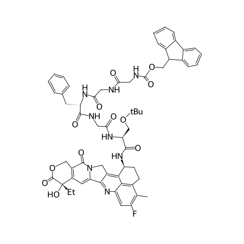 CC[C@@]1(O)C(=O)OCc2c1cc1n(c2=O)Cc2c-1nc1cc(F)c(C)c3c1c2[C@@H](NC(=O)[C@H](COC(C)(C)C)NC(=O)CNC(=O)[C@H](Cc1ccccc1)NC(=O)CNC(=O)CNC(=O)OCC1c2ccccc2-c2ccccc21)CC3